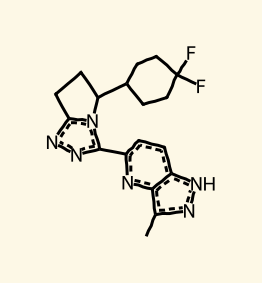 Cc1n[nH]c2ccc(-c3nnc4n3C(C3CCC(F)(F)CC3)CC4)nc12